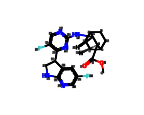 COC(=O)[C@@H]1C2CCC(CC2)[C@H]1Nc1ncc(F)c(C2CNc3ncc(F)cc32)n1